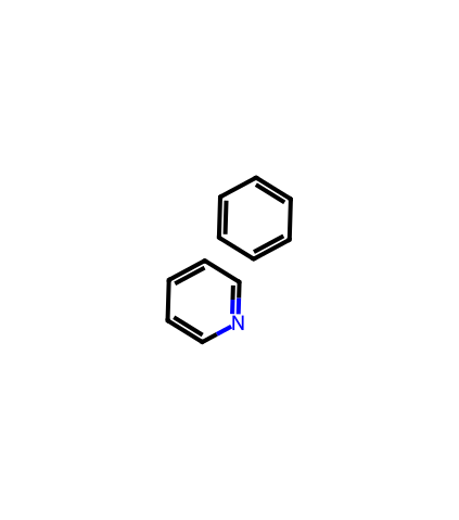 c1ccccc1.c1ccncc1